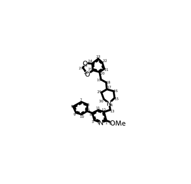 COc1ncc(-c2ccccc2)cc1CN1CCC(CCc2cccc3c2OCO3)CC1